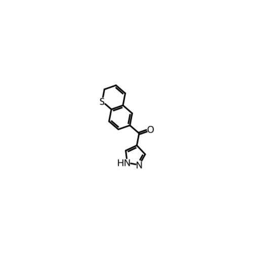 O=C(c1cn[nH]c1)c1ccc2c(c1)C=CCS2